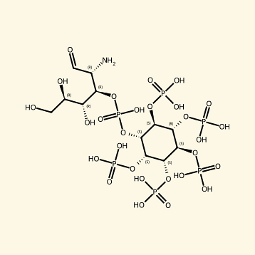 N[C@@H](C=O)[C@@H](OP(=O)(O)O[C@@H]1[C@@H](OP(=O)(O)O)[C@H](OP(=O)(O)O)[C@@H](OP(=O)(O)O)[C@H](OP(=O)(O)O)[C@@H]1OP(=O)(O)O)[C@H](O)[C@H](O)CO